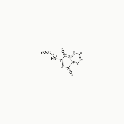 CCCCCCCCCNC1=CC(=O)c2ccccc2C1=O